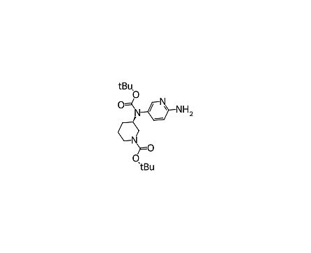 CC(C)(C)OC(=O)N1CCC[C@@H](N(C(=O)OC(C)(C)C)c2ccc(N)nc2)C1